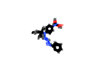 CC(C)(C)N(N=NNc1ccccc1)c1ccc([N+](=O)[O-])cc1